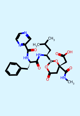 CNC(=O)[C@]1(CC(=O)O)CC(=O)OB([C@H](CC(C)C)NC(=O)[C@H](Cc2ccccc2)NC(=O)c2cnccn2)O1